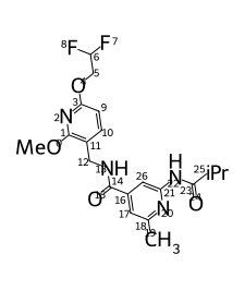 COc1nc(OCC(F)F)ccc1CNC(=O)c1cc(C)nc(NC(=O)C(C)C)c1